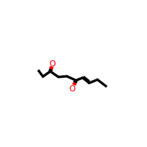 CC/C=C/C(=O)CCC(=O)CC